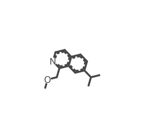 COCc1nccc2ccc(C(C)C)cc12